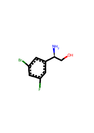 N[C@@H](CO)c1cc(F)cc(Br)c1